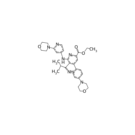 CCOC(=O)c1cc(-c2ccc(N3CCOCC3)cc2)c(C(=N)C(C)C)c(Nc2ccnc(N3CCOCC3)c2)n1